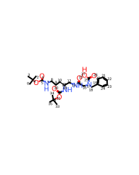 CC(C)(C)OC(=O)NCCC[C@@H](CNC(=O)CN(Cc1ccccc1)C(=O)O)NC(=O)OC(C)(C)C